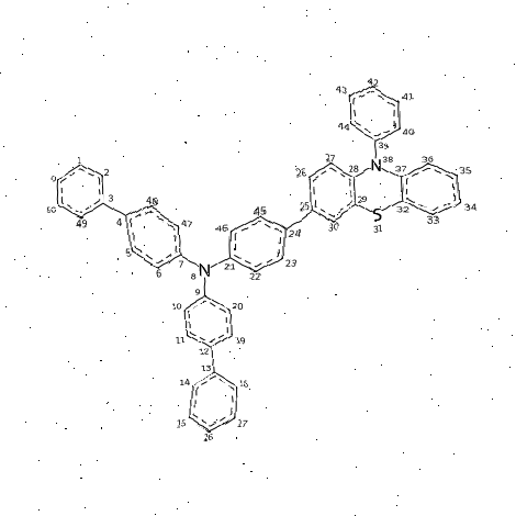 c1ccc(-c2ccc(N(c3ccc(-c4ccccc4)cc3)c3ccc(-c4ccc5c(c4)Sc4ccccc4N5c4ccccc4)cc3)cc2)cc1